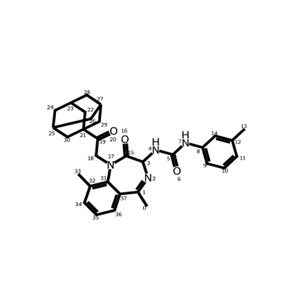 CC1=NC(NC(=O)Nc2cccc(C)c2)C(=O)N(CC(=O)C23CC4CC(CC(C4)C2)C3)c2c(C)cccc21